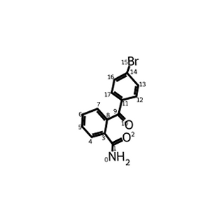 NC(=O)c1ccccc1C(=O)c1ccc(Br)cc1